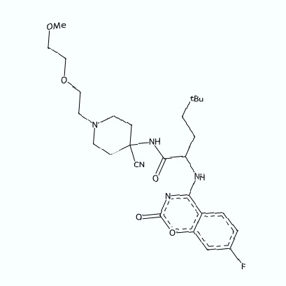 COCCOCCN1CCC(C#N)(NC(=O)C(CCC(C)(C)C)Nc2nc(=O)oc3cc(F)ccc23)CC1